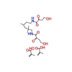 C=C(C)C(=O)O.C=C(C)C(=O)O.CC(CCNC(=O)C(=O)CCO)CC(C)(C)CNC(=O)C(=O)CCO